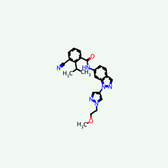 COCCn1cc(-n2ncc3ccc(NC(=O)c4cccc(C#N)c4C(C)C)cc32)cn1